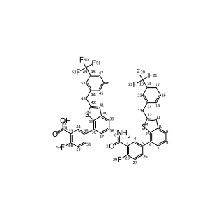 NC(=O)c1cc(-c2cccc3cc(Cc4cccc(C(F)(F)F)c4)sc23)ccc1F.O=C(O)c1cc(-c2cccc3cc(Cc4cccc(C(F)(F)F)c4)sc23)ccc1F